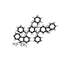 CC1(C)c2ccccc2-c2c(N(c3ccccc3)c3cc4c(c(N(c5ccccc5)c5ccc6c(c5)sc5ccccc56)c3)Sc3ccccc3S4)cccc21